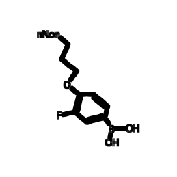 CCCCCCCCCCCCOc1ccc(B(O)O)cc1F